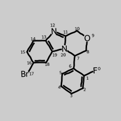 Fc1ccccc1C1COCc2nc3ccc(Br)cc3n21